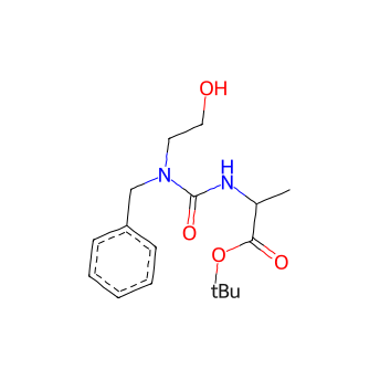 CC(NC(=O)N(CCO)Cc1ccccc1)C(=O)OC(C)(C)C